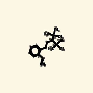 C=Cc1ccccc1CCN([Si](C)(C)C)[Si](C)(C)C(C)(C)C